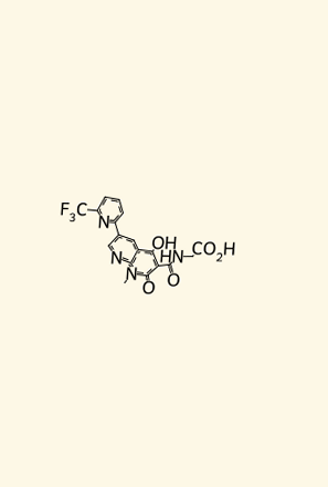 Cn1c(=O)c(C(=O)NCC(=O)O)c(O)c2cc(-c3cccc(C(F)(F)F)n3)cnc21